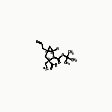 CC[C@@]1(C(=O)O)C[C@]2(CC=O)C[C@@H]2N1C(=O)OC(C)(C)C